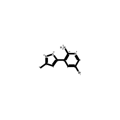 Cc1cc(-c2cc(Br)cnc2N)sn1